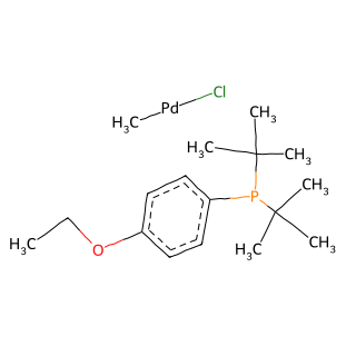 CCOc1ccc(P(C(C)(C)C)C(C)(C)C)cc1.[CH3][Pd][Cl]